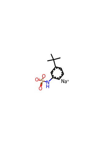 CC(C)(C)c1cccc(NS(=O)(=O)[O-])c1.[Na+]